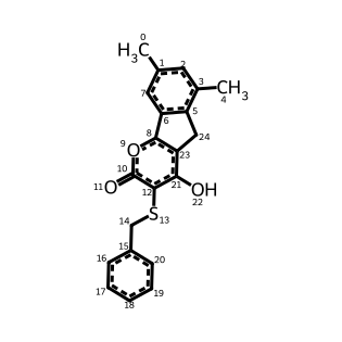 Cc1cc(C)c2c(c1)-c1oc(=O)c(SCc3ccccc3)c(O)c1C2